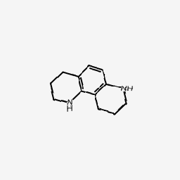 c1cc2c(c3c1CCCN3)CCCN2